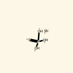 OP(O)(O)=S.[Sb]